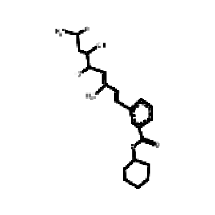 CC(/C=C/c1cccc(C(=O)OC2CCCCC2)c1)=C\C(O)C(O)CC(C)O